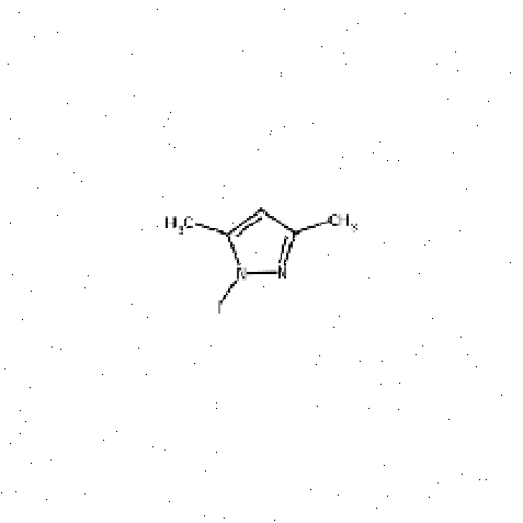 Cc1cc(C)n(I)n1